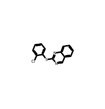 Clc1ccccc1Sc1ncc2ccccc2n1